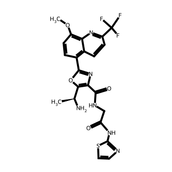 COc1ccc(-c2nc(C(=O)NCC(=O)Nc3nccs3)c([C@H](C)N)o2)c2ccc(C(F)(F)F)nc12